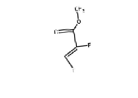 COC(=O)C(F)=CF